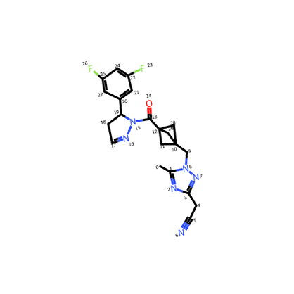 Cc1nc(CC#N)nn1CC12CC(C(=O)N3N=CCC3c3cc(F)cc(F)c3)(C1)C2